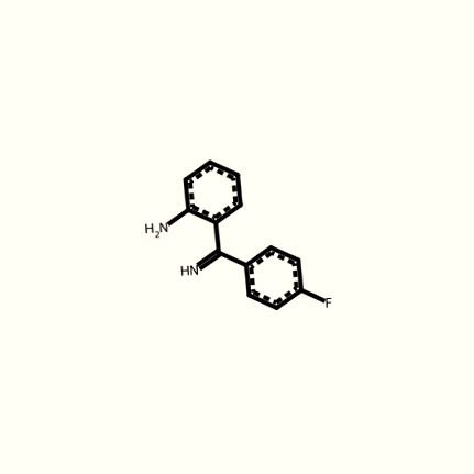 N=C(c1ccc(F)cc1)c1ccccc1N